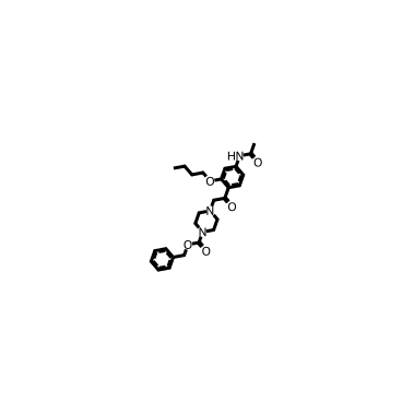 CCCCOc1cc(NC(C)=O)ccc1C(=O)CN1CCN(C(=O)OCc2ccccc2)CC1